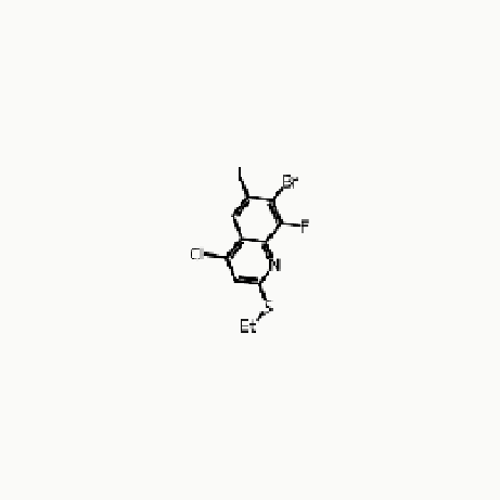 CCSc1cc(Cl)c2cc(I)c(Br)c(F)c2n1